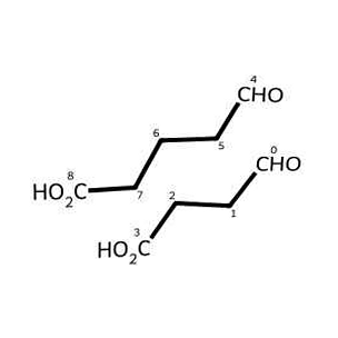 O=CCCC(=O)O.O=CCCCC(=O)O